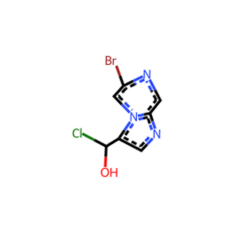 OC(Cl)c1cnc2cnc(Br)cn12